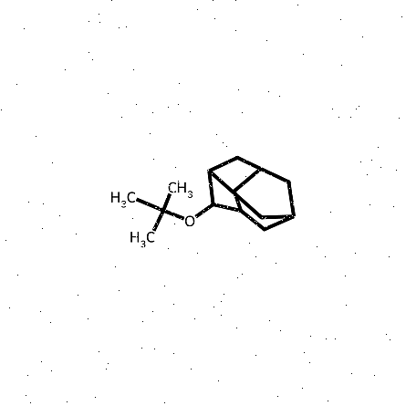 CC(C)(C)OC1C2CC3CC(C2)CC1C3